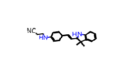 CC1(C)C2=CC=CCC2NC1/C=C/C1C=CC(NCCC#N)=CC1